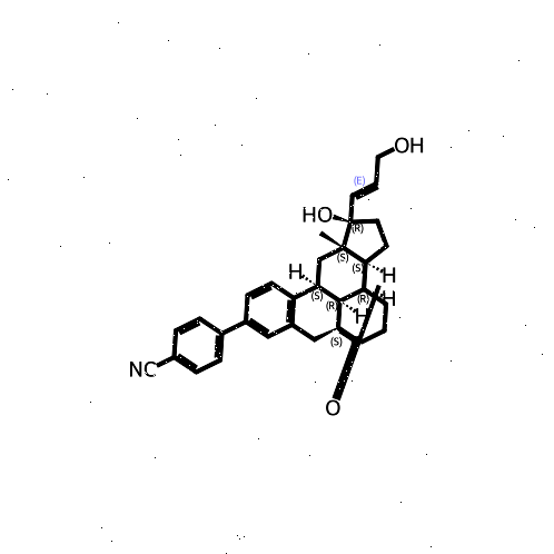 C[C@]12C[C@@H]3c4ccc(-c5ccc(C#N)cc5)cc4C[C@]45CCC(=O)C=C4CC[C@@H]([C@H]35)[C@@H]1CC[C@@]2(O)/C=C/CO